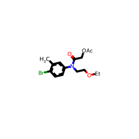 CCOCCN(C(=O)COC(C)=O)c1ccc(Br)c(C)c1